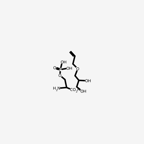 C=CCOCC(O)CO.NC(COP(=O)(O)O)C(=O)O